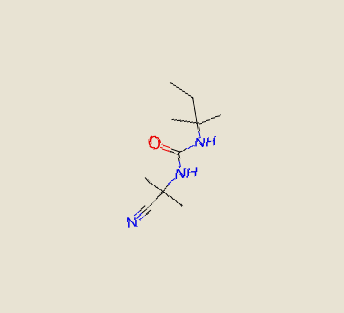 CCC(C)(C)NC(=O)NC(C)(C)C#N